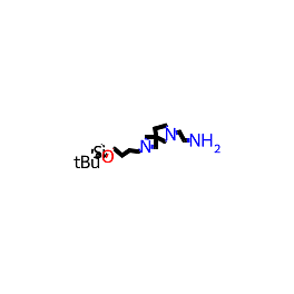 CC(C)(C)[Si](C)(C)OCCCCN1CC2(CCN(CCN)C2)C1